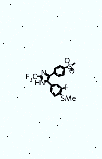 CSc1ccc(-c2[nH]c(C(F)(F)F)nc2-c2ccc(S(C)(=O)=O)cc2)cc1F